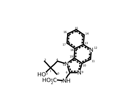 CC(C)(O)Cn1c(NC(=O)O)nc2cnc3ccccc3c21